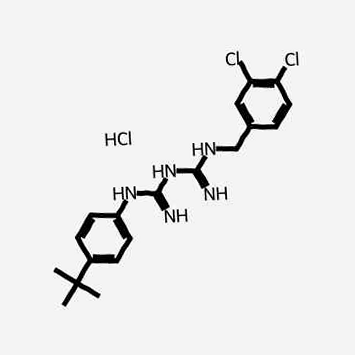 CC(C)(C)c1ccc(NC(=N)NC(=N)NCc2ccc(Cl)c(Cl)c2)cc1.Cl